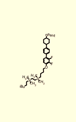 CCCCCC1CCC(c2ccc(-c3ccc(OCCCC[Si](C)(C)CC[Si](C)(C)CCC(C)CC)c(F)c3F)cc2)CC1